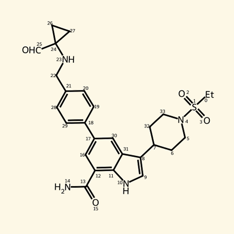 CCS(=O)(=O)N1CCC(c2c[nH]c3c(C(N)=O)cc(-c4ccc(CNC5(C=O)CC5)cc4)cc23)CC1